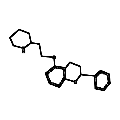 c1ccc(C2CCc3c(OCCC4CCCCN4)cccc3O2)cc1